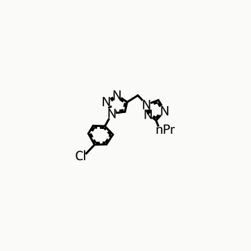 CCCc1ncn(Cc2cn(-c3ccc(Cl)cc3)nn2)n1